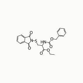 CCOC(=O)C(CSN1C(=O)c2ccccc2C1=O)NC(=O)OCc1ccccc1